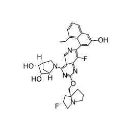 CCc1cccc2cc(O)cc(-c3ncc4c(N5C[C@H]6C[C@@H]5[C@H](O)[C@@H]6O)nc(OC[C@@]56CCCN5C[C@H](F)C6)nc4c3F)c12